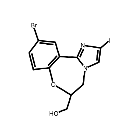 OCC1Cn2cc(I)nc2-c2cc(Br)ccc2O1